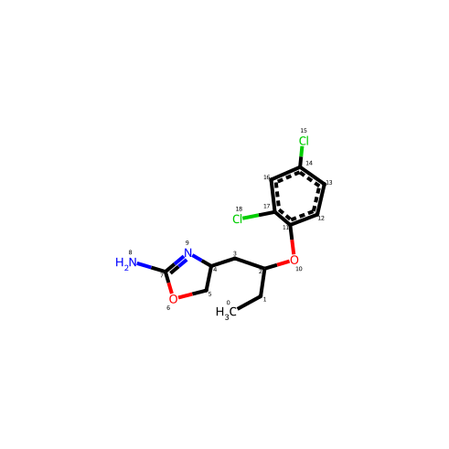 CCC(CC1COC(N)=N1)Oc1ccc(Cl)cc1Cl